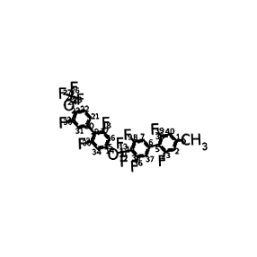 Cc1cc(F)c(-c2cc(F)c(C(F)(F)Oc3cc(F)c(-c4ccc(OC(F)(F)F)c(F)c4)c(F)c3)c(F)c2)c(F)c1